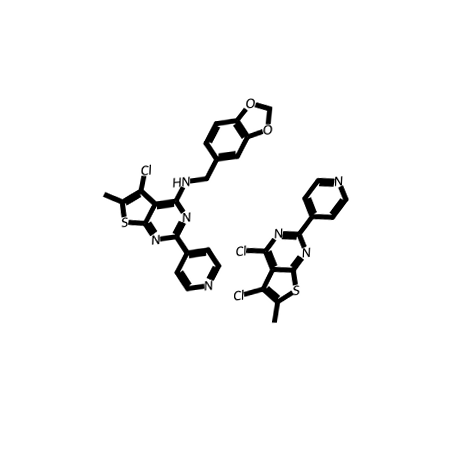 Cc1sc2nc(-c3ccncc3)nc(Cl)c2c1Cl.Cc1sc2nc(-c3ccncc3)nc(NCc3ccc4c(c3)OCO4)c2c1Cl